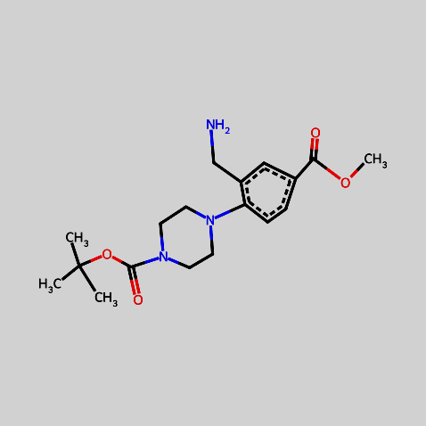 COC(=O)c1ccc(N2CCN(C(=O)OC(C)(C)C)CC2)c(CN)c1